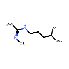 C/N=C(/NC)NCCC[C@H](NC)C(C)=O